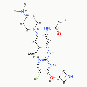 C=CC(=O)Nc1cc(Nc2ncc(F)c(OC3CNC3)n2)c(OC)cc1N1CCC(N(C)C)CC1